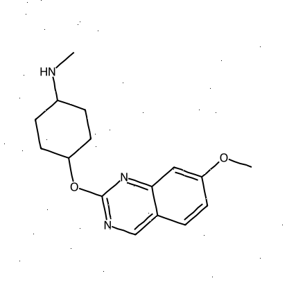 CNC1CCC(Oc2ncc3ccc(OC)cc3n2)CC1